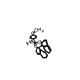 COc1ccc(Np2oc3ccc4ccccc4c3c3c(ccc4ccccc43)o2)cc1